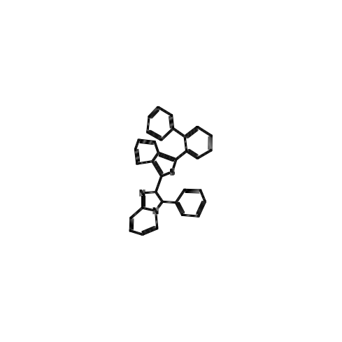 C1=CC2=NC(c3sc(-c4ccccc4-c4ccccc4)c4ccccc34)C(c3ccccc3)N2C=C1